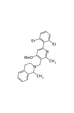 CCc1cccc(CC)c1-c1cc(OC)c(CN2CCc3ccccc3C2C)c(C)n1